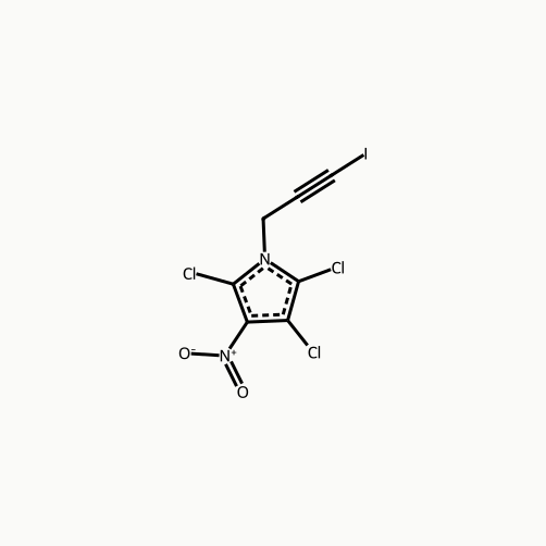 O=[N+]([O-])c1c(Cl)c(Cl)n(CC#CI)c1Cl